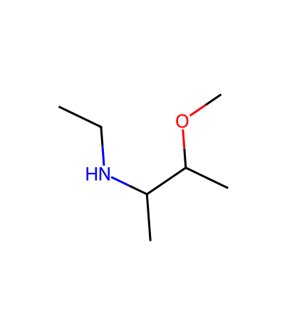 CCNC(C)C(C)OC